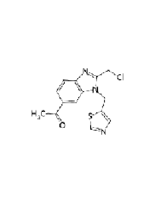 CC(=O)c1ccc2nc(CCl)n(Cc3cncs3)c2c1